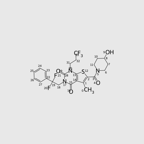 Cc1c(C(=O)N2CCC(O)CC2)sc2c1c(=O)n(CC(F)(F)c1ccccc1)c(=O)n2CCC(F)(F)F